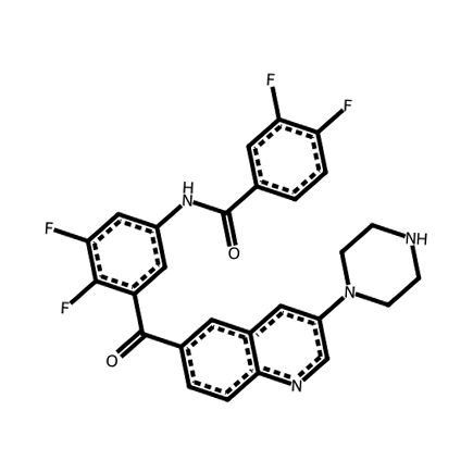 O=C(Nc1cc(F)c(F)c(C(=O)c2ccc3ncc(N4CCNCC4)cc3c2)c1)c1ccc(F)c(F)c1